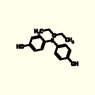 CCOCC.Oc1ccc(Sc2ccc(O)cc2)cc1